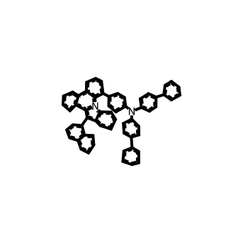 c1ccc(-c2ccc(N(c3ccc(-c4ccccc4)cc3)c3ccc(-c4cccc5c6ccccc6c6c(-c7cccc8ccccc78)c7ccccc7n6c45)cc3)cc2)cc1